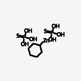 OP(O)(O)=S.OP(O)(O)=S.[Zn][CH]1CCCCC1